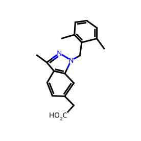 Cc1cccc(C)c1Cn1nc(C)c2ccc(CC(=O)O)cc21